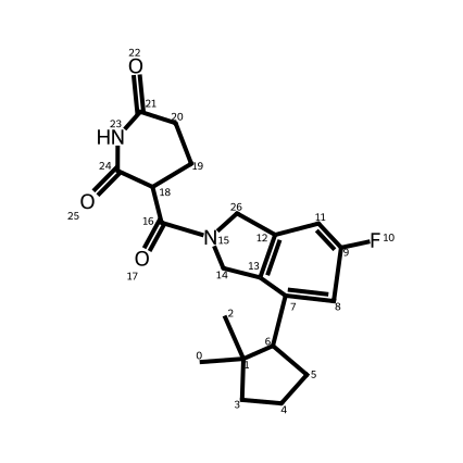 CC1(C)CCCC1c1cc(F)cc2c1CN(C(=O)C1CCC(=O)NC1=O)C2